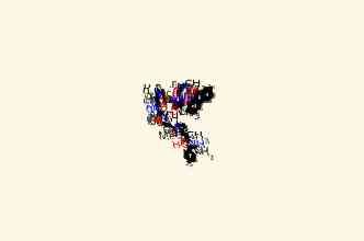 CC[C@H](C)[C@@H]([C@@H](CC(=O)N1CCC[C@H]1[C@H](OC)[C@@H](C)C(=O)N[C@H](C)[C@@H](O)c1ccccc1)OC)N(C)C(=O)[C@@H](NC(=O)[C@H](C(C)C)N(C)CCSCNC(=O)[C@H](C)NC(=O)[C@H](C(C)C)N(C)C(=O)OC1c2ccccc2-c2ccccc21)C(C)C